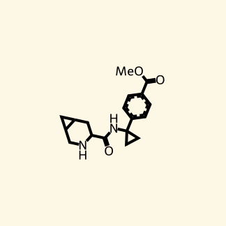 COC(=O)c1ccc(C2(NC(=O)C3CC4CC4CN3)CC2)cc1